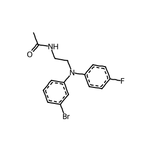 CC(=O)NCCN(c1ccc(F)cc1)c1cccc(Br)c1